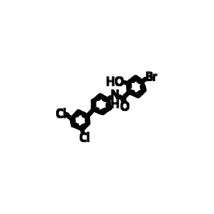 O=C(Nc1ccc(-c2cc(Cl)cc(Cl)c2)cc1)c1ccc(Br)cc1O